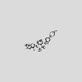 CCN1CCN(c2ccc(Nc3ncnc(Oc4ccc5[nH]c(C)cc5c4F)c3C(=O)N3CCC3)cc2)CC1